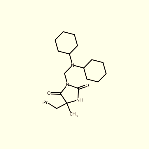 CC(C)CC1(C)NC(=O)N(CN(C2CCCCC2)C2CCCCC2)C1=O